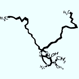 CCCCC/C=C\C/C=C\CCCCCCCCC1(CCCCCCCC/C=C\C/C=C\CCCCC)O[C@@H]2CN(C)C[C@H](N(C)C)C(O)[C@@H]2O1